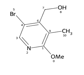 COc1ncc(Br)c(CO)c1C